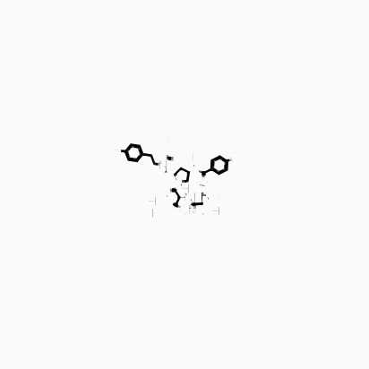 CN[C@@H](C)C(=O)N[C@H](C(=O)N1C[C@@H](NC(=O)c2ccc(C)cc2)C[C@H]1CN(CCc1ccc(F)cc1)C(C)=O)C(C)(C)C